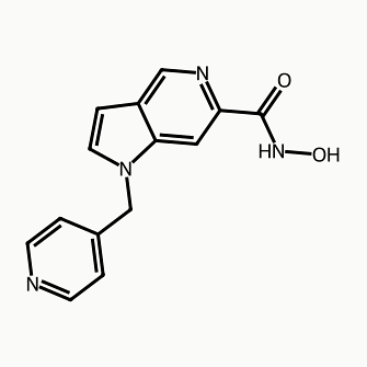 O=C(NO)c1cc2c(ccn2Cc2ccncc2)cn1